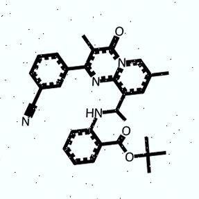 Cc1cc(C(C)Nc2ccccc2C(=O)OC(C)(C)C)c2nc(-c3cccc(C#N)c3)c(C)c(=O)n2c1